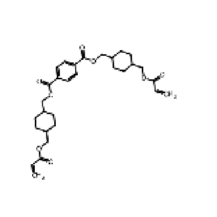 C=CC(=O)OCC1CCC(COC(=O)c2ccc(C(=O)OCC3CCC(COC(=O)C=C)CC3)cc2)CC1